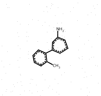 Cc1ccccc1-c1[c]ccc(N)c1